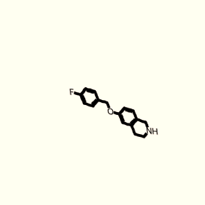 Fc1ccc(COc2ccc3c(c2)CCNC3)cc1